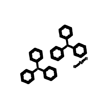 [Cl][Pd+][Cl].c1ccc(P(c2ccccc2)c2ccccc2)cc1.c1ccc(P(c2ccccc2)c2ccccc2)cc1